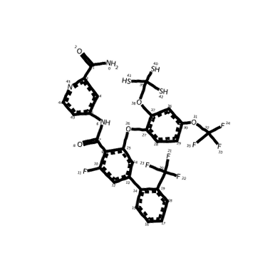 NC(=O)c1cc(NC(=O)c2c(F)cc(-c3ccccc3C(F)(F)F)cc2Oc2ccc(OC(F)(F)F)cc2OC(S)(S)S)ccn1